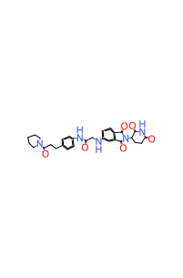 O=C1CCC(N2C(=O)c3ccc(NCC(=O)Nc4ccc(CCC(=O)N5CCCCC5)cc4)cc3C2=O)C(=O)N1